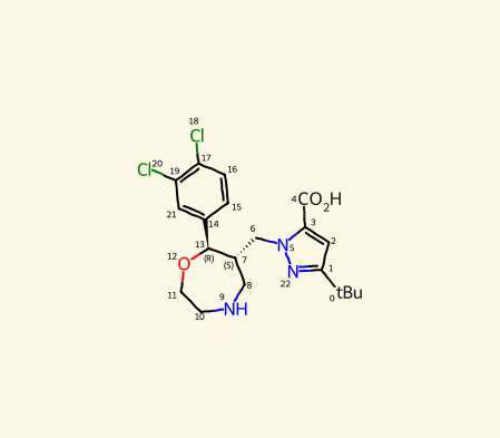 CC(C)(C)c1cc(C(=O)O)n(C[C@@H]2CNCCO[C@H]2c2ccc(Cl)c(Cl)c2)n1